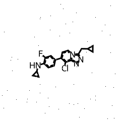 Fc1cc(-c2ccn3c(CC4CC4)nnc3c2Cl)ccc1NC1CC1